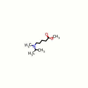 COC(=O)CCCCN(C)C(C)C